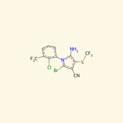 N#Cc1c(SC(F)(F)F)c(N)n(-c2cccc(C(F)(F)F)c2Cl)c1Br